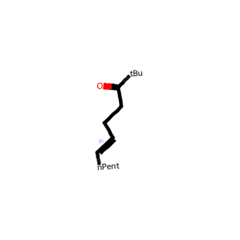 CCCCC/C=C/CCC(=O)C(C)(C)C